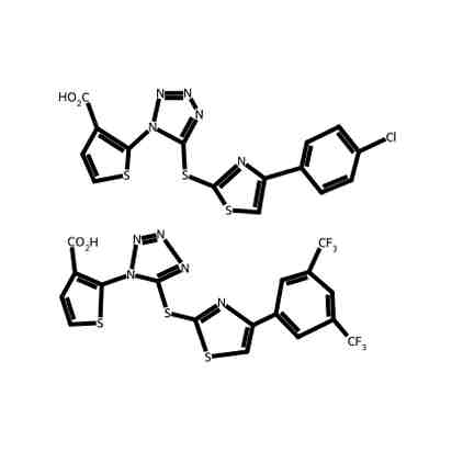 O=C(O)c1ccsc1-n1nnnc1Sc1nc(-c2cc(C(F)(F)F)cc(C(F)(F)F)c2)cs1.O=C(O)c1ccsc1-n1nnnc1Sc1nc(-c2ccc(Cl)cc2)cs1